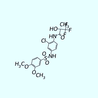 COc1ccc(S(=O)(=O)Nc2ccc(NC(=O)[C@@](C)(O)C(F)(F)F)c(Cl)c2)cc1OC